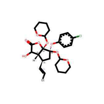 CC/C=C/[C@@H]1C[C@](Oc2ccc(Cl)cc2)(OC2CCCCO2)[C@@]2(OC3CCCCO3)OC(=O)C(O)[C@@H]12